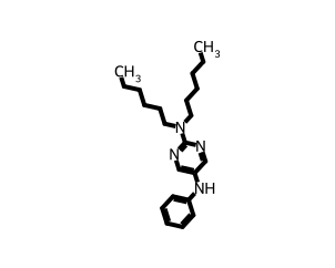 CCCCCCN(CCCCCC)c1ncc(Nc2ccccc2)cn1